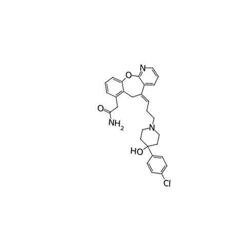 NC(=O)Cc1cccc2c1CC(=CCCN1CCC(O)(c3ccc(Cl)cc3)CC1)c1cccnc1O2